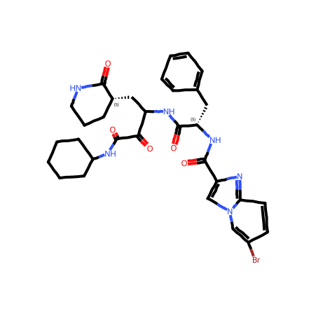 O=C(NC1CCCCC1)C(=O)C(C[C@@H]1CCCNC1=O)NC(=O)[C@H](Cc1ccccc1)NC(=O)c1cn2cc(Br)ccc2n1